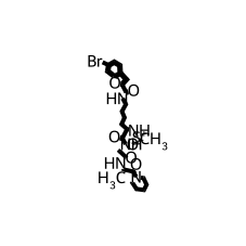 CC(NC(=O)CNC(=O)C(CCCCNC(=O)c1cc2ccc(Br)cc2o1)N[S+](C)[O-])C(=O)N1CCCCC1